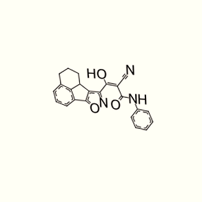 N#CC(C(=O)Nc1ccccc1)=C(O)c1noc2c1C1CCCc3cccc-2c31